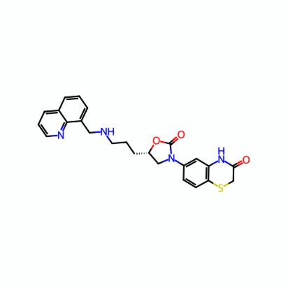 O=C1CSc2ccc(N3C[C@H](CCCNCc4cccc5cccnc45)OC3=O)cc2N1